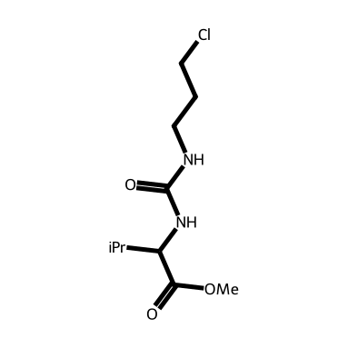 COC(=O)C(NC(=O)NCCCCl)C(C)C